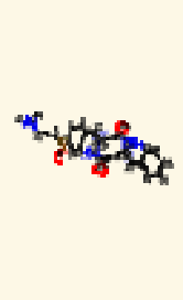 CN(C)CC[S+]([O-])c1ccc(/C=c2\[nH]c(=O)/c(=C/c3ccccc3)[nH]c2=O)cc1